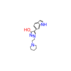 Oc1nn(CCN2CCCCC2)cc1-c1ccc2cc[nH]c2c1